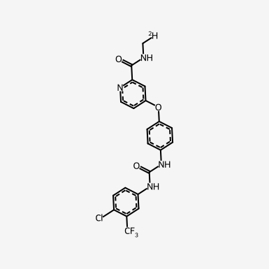 [2H]CNC(=O)c1cc(Oc2ccc(NC(=O)Nc3ccc(Cl)c(C(F)(F)F)c3)cc2)ccn1